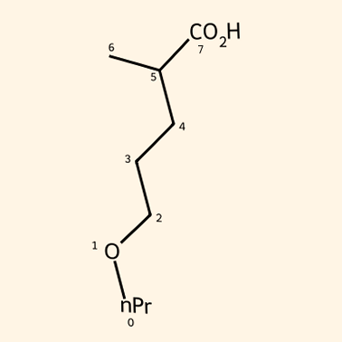 CCCOCCCC(C)C(=O)O